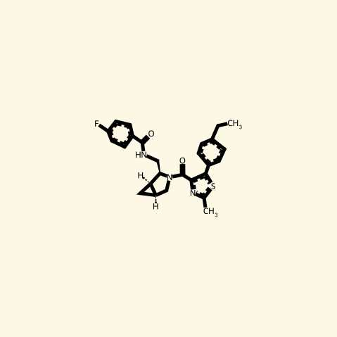 CCc1ccc(-c2sc(C)nc2C(=O)N2C[C@H]3C[C@H]3[C@H]2CNC(=O)c2ccc(F)cc2)cc1